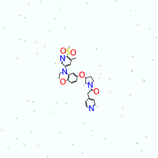 Cc1cc(N2CCOc3ccc(O[C@H]4CCN(C(=O)Cc5ccncc5)C4)cc32)cnc1S(C)(=O)=O